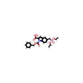 CCOP(=O)(Cc1ccc2c(c1)cc(C(=O)O)n2C(=O)OCc1ccccc1)OCC